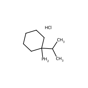 CC(C)C1(P)CCCCC1.Cl